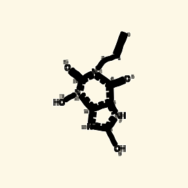 C=CCn1c(=O)c2[nH]c(O)nc2n(O)c1=O